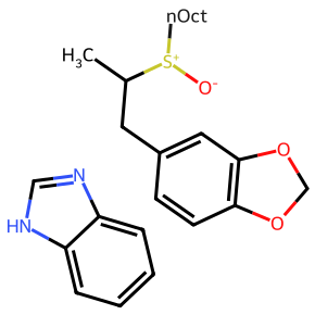 CCCCCCCC[S+]([O-])C(C)Cc1ccc2c(c1)OCO2.c1ccc2[nH]cnc2c1